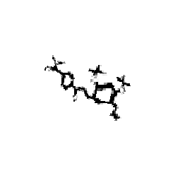 C=CCc1cc(C=CC(=O)c2ccc(C(=O)N(C)C)cc2)c(OC(C)(C)C)cc1OC(C)(C)C